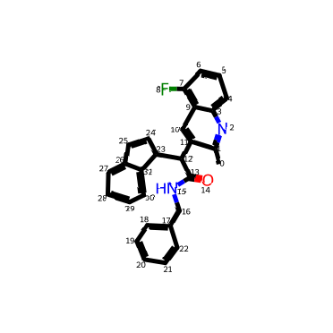 Cc1nc2cccc(F)c2cc1C(C(=O)NCc1ccccc1)C1C=Cc2ccccc21